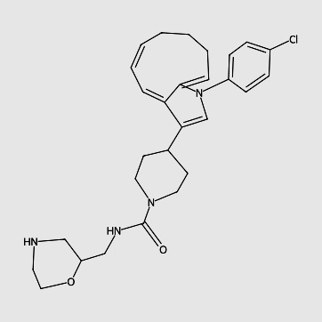 O=C(NCC1CNCCO1)N1CCC(c2cn(-c3ccc(Cl)cc3)c3/c2=C\C=C/CCC/C=3)CC1